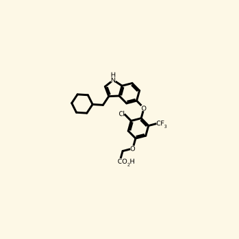 O=C(O)COc1cc(Cl)c(Oc2ccc3[nH]cc(CC4CCCCC4)c3c2)c(C(F)(F)F)c1